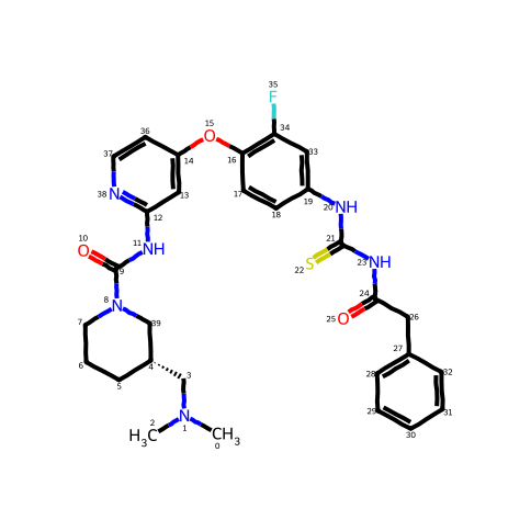 CN(C)C[C@@H]1CCCN(C(=O)Nc2cc(Oc3ccc(NC(=S)NC(=O)Cc4ccccc4)cc3F)ccn2)C1